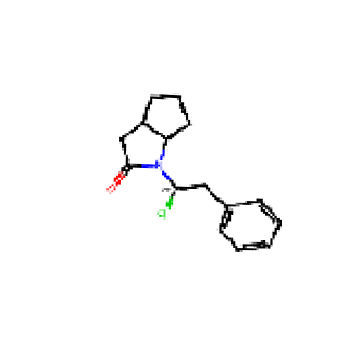 O=C1CC2CCCC2N1[C@H](Cl)Cc1ccccc1